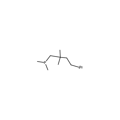 CC(C)CCC(C)(C)CP(C)C